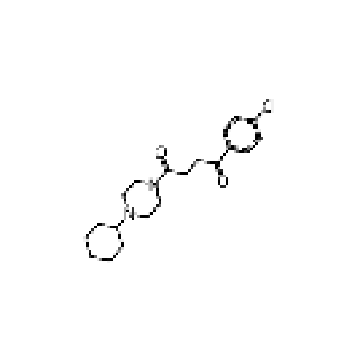 O=C(CCC(=O)N1CCN(C2CCCCC2)CC1)c1ccc(Cl)cc1